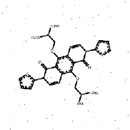 CCCCCCCCCCC(CCCCCCCC)COc1c2c(c(OCC(CCCCCCCC)CCCCCCCCCC)c3c1C(=O)C(c1cccs1)C=C3)C(=O)C(c1cccs1)C=C2